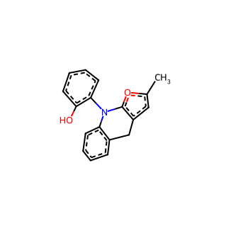 Cc1cc2c(o1)N(c1ccccc1O)c1ccccc1C2